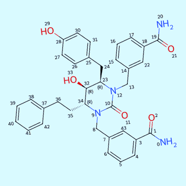 NC(=O)c1cccc(CN2C(=O)N(Cc3cccc(C(N)=O)c3)[C@H](Cc3ccc(O)cc3)[C@H](O)[C@H]2CCc2ccccc2)c1